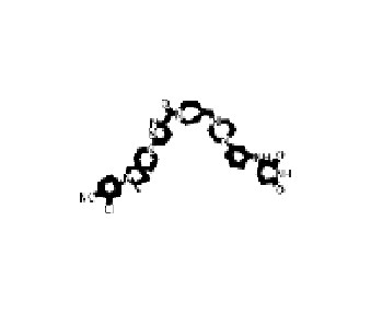 C[C@@H]1CC2(CCN(c3ccc(C(=O)N4CCC(CN5CCN(c6cccc(N[C@H]7CCC(=O)NC7=O)c6)CC5)CC4)nn3)CC2)CN1c1ccc(C#N)c(Cl)c1